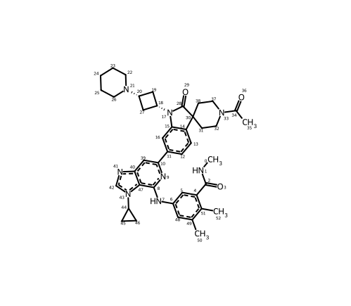 CNC(=O)c1cc(Nc2nc(-c3ccc4c(c3)N([C@H]3C[C@@H](N5CCCCC5)C3)C(=O)C43CCN(C(C)=O)CC3)cc3ncn(C4CC4)c23)cc(C)c1C